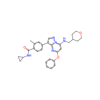 Cc1cc(-c2cnn3c(NCC4CCOCC4)cc(Oc4ccccc4)nc23)ccc1C(=O)NC1CC1